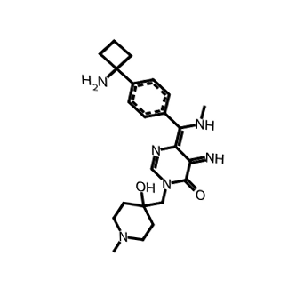 CN/C(=C1/N=CN(CC2(O)CCN(C)CC2)C(=O)C1=N)c1ccc(C2(N)CCC2)cc1